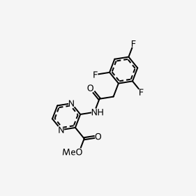 COC(=O)c1nccnc1NC(=O)Cc1c(F)cc(F)cc1F